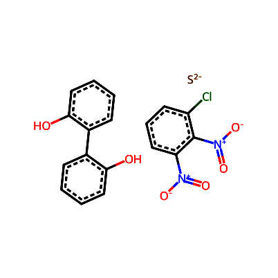 O=[N+]([O-])c1cccc(Cl)c1[N+](=O)[O-].Oc1ccccc1-c1ccccc1O.[S-2]